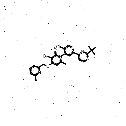 Cc1cccc(COc2cc(C)n(-c3cc(-c4ccnc(C(C)(C)C)n4)ncc3Cl)c(=O)c2Br)n1